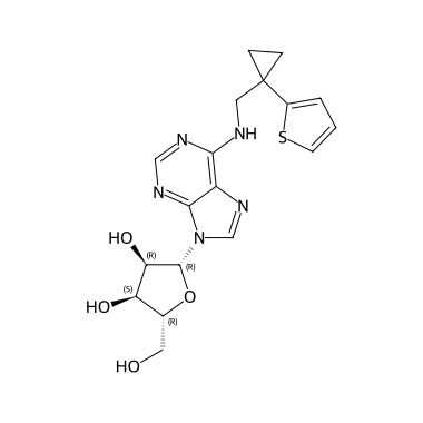 OC[C@H]1O[C@@H](n2cnc3c(NCC4(c5cccs5)CC4)ncnc32)[C@H](O)[C@@H]1O